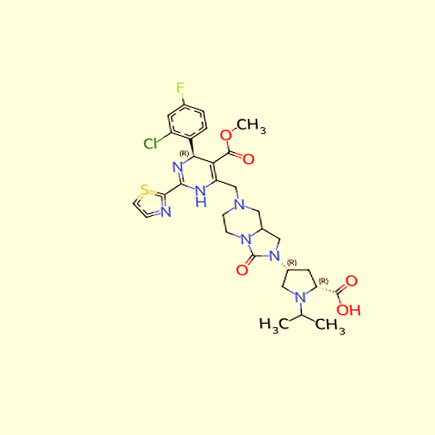 COC(=O)C1=C(CN2CCN3C(=O)N([C@@H]4C[C@H](C(=O)O)N(C(C)C)C4)CC3C2)NC(c2nccs2)=N[C@H]1c1ccc(F)cc1Cl